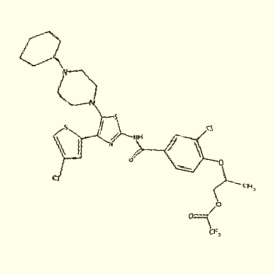 CC(COC(=O)C(F)(F)F)Oc1ccc(C(=O)Nc2nc(-c3cc(Cl)cs3)c(N3CCN(C4CCCCC4)CC3)s2)cc1Cl